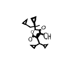 CC(CC1CC1)(C1CC1)C1OC(=O)C(C(C2CC2)C2CC2)=C(O)C1=O